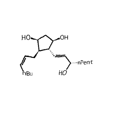 CCCC/C=C\C[C@@H]1[C@@H](/C=C/[C@@H](O)CCCCC)[C@H](O)C[C@@H]1O